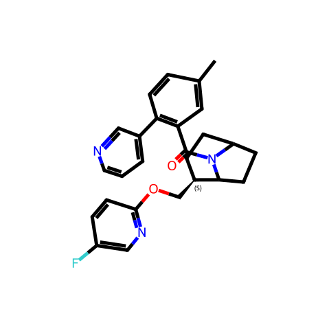 Cc1ccc(-c2cccnc2)c(C(=O)N2C3CCC2[C@@H](COc2ccc(F)cn2)CC3)c1